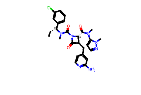 CC[C@H](c1cccc(Cl)c1)N(C)C(=O)N1C(=O)C(Cc2ccnc(N)c2)[C@H]1C(=O)N(C)c1ccnn1C